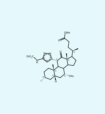 CCOC(=O)Nc1cn([C@@H]2C(=O)[C@@]3(C)C(CCC3[C@H](C)CCC(=O)OC)C3C2[C@@]2(C)CC[C@@H](C)C[C@H]2C[C@H]3OC(C)=O)nn1